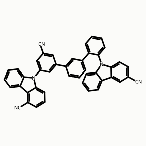 N#Cc1cc(-c2cccc(-c3ccccc3-n3c4ccccc4c4cc(C#N)ccc43)c2)cc(-n2c3ccccc3c3c(C#N)cccc32)c1